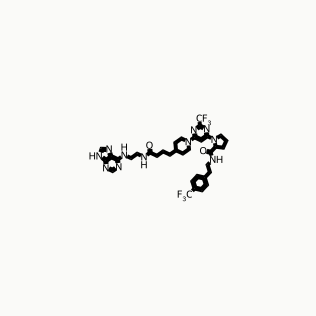 O=C(CCCC1CCN(c2cc(N3CCCC3C(=O)NCCc3ccc(C(F)(F)F)cc3)nc(C(F)(F)F)n2)CC1)NCCNc1ncnc2[nH]cnc12